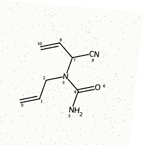 C=CCN(C(N)=O)C(C#N)C=C